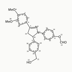 COc1ccc(C2=NN(c3ccc(OC=O)cc3)C(c3ccc(CO)cc3)C2)cc1OC